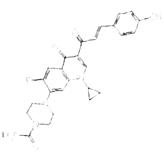 CC(=O)N1CCN(c2cc3c(cc2F)c(=O)c(C(=O)C=Cc2ccc(C)cc2)cn3C2CC2)CC1